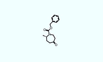 C[C@@H]1CCC(=O)CCN1C(=O)OCc1ccccc1